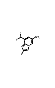 Cc1cn2cc(N)cc(C(F)F)c2n1